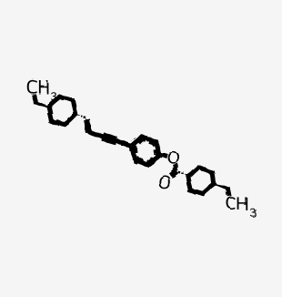 CC[C@H]1CC[C@H](C=CC#Cc2ccc(OC(=O)[C@H]3CC[C@H](CC)CC3)cc2)CC1